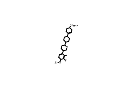 CCCCCC1CC=C(C2CCC(C3CCC(C4=CCC(OCC)C(F)=C4F)CO3)CC2)CC1